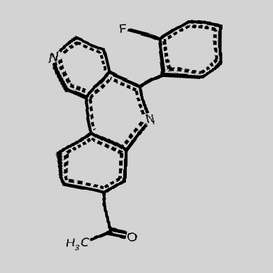 CC(=O)c1ccc2c(c1)nc(-c1ccccc1F)c1ccncc12